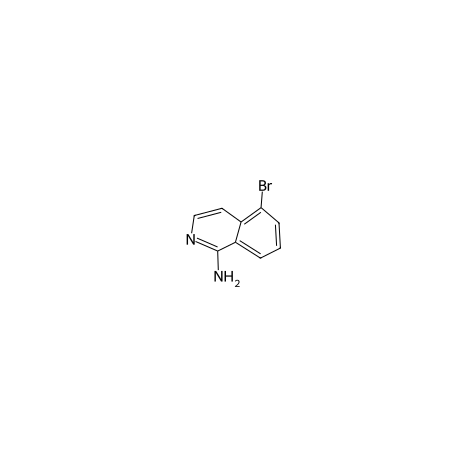 Nc1nccc2c(Br)cccc12